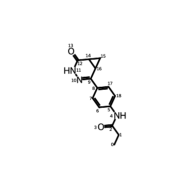 CCC(=O)Nc1ccc(C2=NNC(=O)C3CC23)cc1